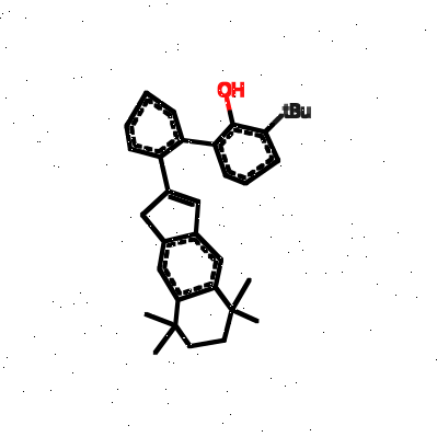 CC(C)(C)c1cccc(-c2ccccc2C2=Cc3cc4c(cc3C2)C(C)(C)CCC4(C)C)c1O